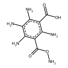 NOC(=O)c1c(N)c(N)c(N)c(C(=O)O)c1N